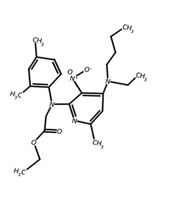 CCCCN(CC)c1cc(C)nc(N(CC(=O)OCC)c2ccc(C)cc2C)c1[N+](=O)[O-]